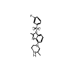 Cc1nc2c(N3CCNC(C)C3)cccc2n1S(=O)(=O)c1cccc(F)c1